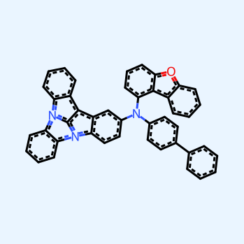 c1ccc(-c2ccc(N(c3ccc4c(c3)c3c5ccccc5n5c6ccccc6n4c35)c3cccc4oc5ccccc5c34)cc2)cc1